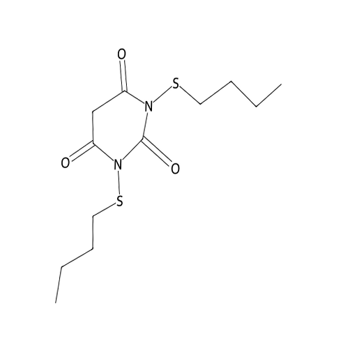 CCCCSN1C(=O)CC(=O)N(SCCCC)C1=O